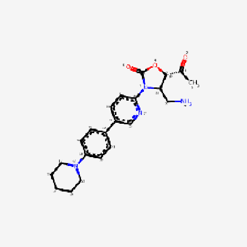 CC(=O)[C@H]1OC(=O)N(c2ccc(-c3ccc(N4CCCCC4)cc3)cn2)C1CN